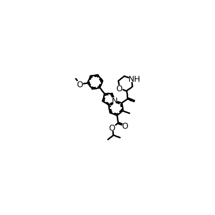 C=C(c1c(C)c(C(=O)OC(C)C)cc2cc(-c3cccc(OC)c3)cn12)C1CNCCO1